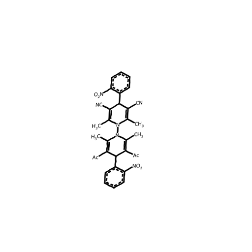 CC(=O)C1=C(C)N(N2C(C)=C(C#N)C(c3ccccc3[N+](=O)[O-])C(C#N)=C2C)C(C)=C(C(C)=O)C1c1ccccc1[N+](=O)[O-]